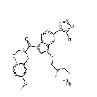 Br.Br.CCN(C)CCn1cc(C(=O)[C@@H]2COc3ccc(OC)cc3C2)c2ccc(-c3cn[nH]c3Cl)cc21